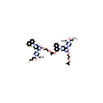 CC(F)C(=O)N1CCN(c2nc(OCCCOC3CC3)nc3c2CCN(c2cc(OC4CC4OCCCOc4nc5c(c(N6CCN(C(=O)/C=C/CF)[C@@H](CC#N)C6)n4)CCN(c4cccc6cccc(F)c46)C5)cc4ccccc24)C3)C[C@@H]1CC#N